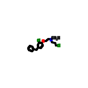 O=C(O)N(CCCCl)CCOc1ccc(Cc2ccccc2)cc1Cl